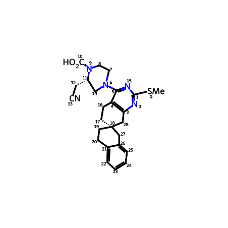 CSc1nc2c(c(N3CCN(C(=O)O)[C@@H](CC#N)C3)n1)CC[C@]1(CCc3ccccc3C1)C2